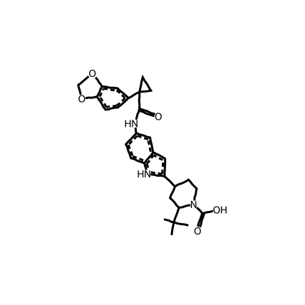 CC(C)(C)C1CC(c2cc3cc(NC(=O)C4(c5ccc6c(c5)OCO6)CC4)ccc3[nH]2)CCN1C(=O)O